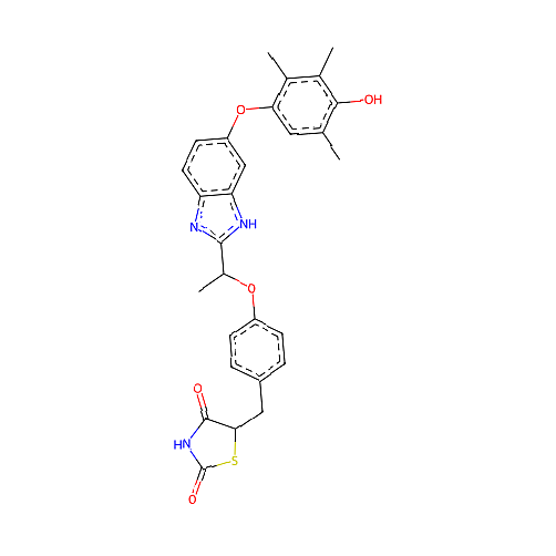 Cc1cc(Oc2ccc3nc(C(C)Oc4ccc(CC5SC(=O)NC5=O)cc4)[nH]c3c2)c(C)c(C)c1O